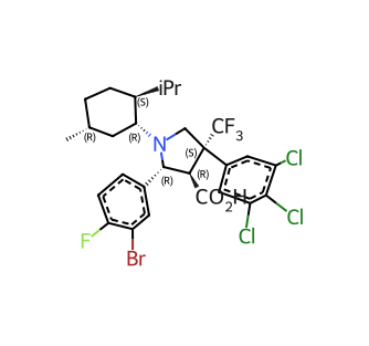 CC(C)[C@@H]1CC[C@@H](C)C[C@H]1N1C[C@](c2cc(Cl)c(Cl)c(Cl)c2)(C(F)(F)F)[C@@H](C(=O)O)[C@@H]1c1ccc(F)c(Br)c1